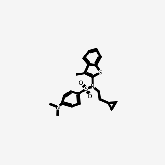 Cc1c(N(CCC2CC2)S(=O)(=O)c2ccc(N(C)C)cc2)sc2ccccc12